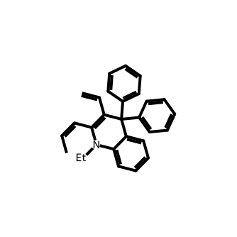 C=CC1=C(/C=C\C)N(CC)c2ccccc2C1(c1ccccc1)c1ccccc1